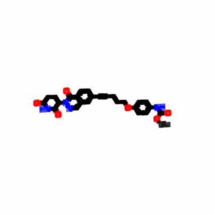 CC(C)(C)OC(=O)Nc1ccc(OCCCC#Cc2ccc3c(=O)n(C4CCC(=O)NC4=O)ncc3c2)cc1